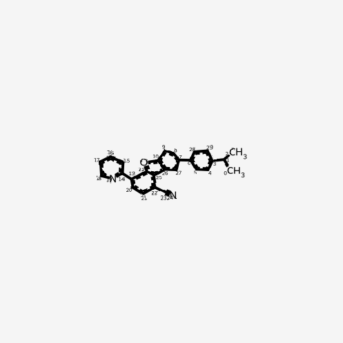 CC(C)c1ccc(-c2ccc3oc4c(-c5ccccn5)ccc(C#N)c4c3c2)cc1